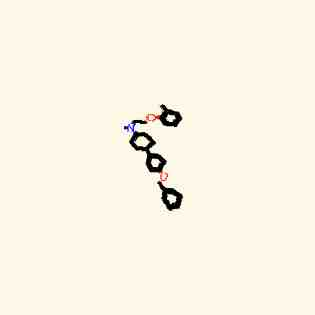 Cc1ccccc1OCCN(C)C1CCC(c2ccc(OCc3ccccc3)cc2)CC1